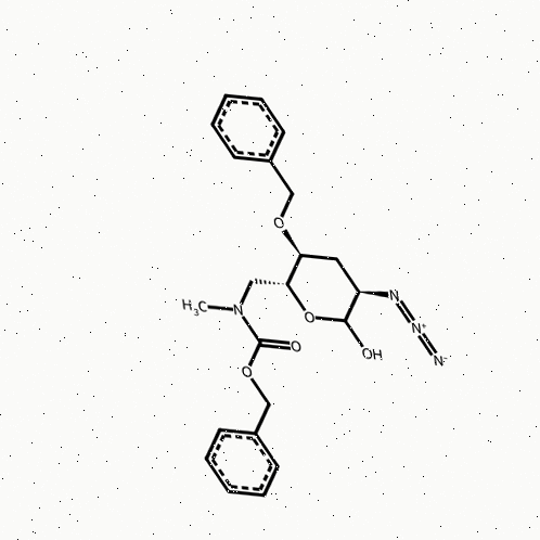 CN(C[C@H]1OC(O)[C@H](N=[N+]=[N-])C[C@@H]1OCc1ccccc1)C(=O)OCc1ccccc1